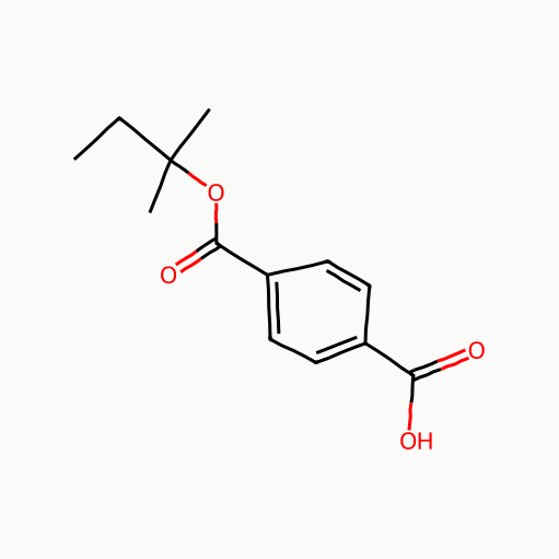 CCC(C)(C)OC(=O)c1ccc(C(=O)O)cc1